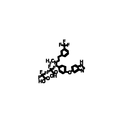 CN(CCc1cccc(C(F)(F)F)c1)Cc1ccc(Oc2ccc3[nH]cnc3c2)cc1.O=C(O)C(F)(F)F.O=C(O)C(F)(F)F